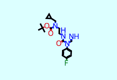 CC(C)(C)OC(=O)N(CCNC(=O)N(C=N)c1ccc(F)cc1)CC1CC1